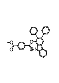 COC(=O)c1ccc(C(=O)Oc2c(-c3ccccc3)c(-c3ccccc3)cc3c2[nH]c2ccccc23)cc1